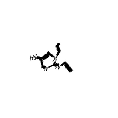 C=C/N=c1/ncc(S)cn1C=C